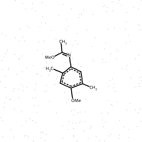 CO/C(C)=N\c1cc(C)c(OC)cc1C